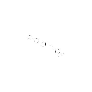 O=C1OCc2cc(CCN3CCc4nc(-c5ccc(-n6cnnn6)cc5)ncc4C3)ccc21